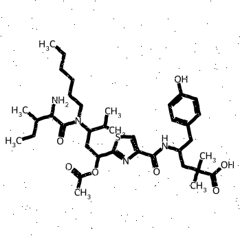 CCCCCCN(C(=O)C(N)C(C)CC)C(CC(OC(C)=O)c1nc(C(=O)NC(Cc2ccc(O)cc2)CC(C)(C)C(=O)O)cs1)C(C)C